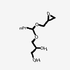 CCCC(OCC(O)CO)OCC1CO1